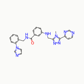 Cn1c(CNc2cccc(C(=O)NCc3ccccc3-n3ccnc3)c2)nnc1-c1ccncn1